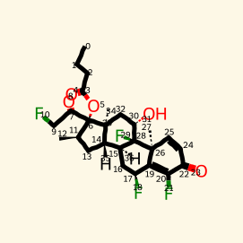 CCCC(=O)O[C@@]1(C(=O)CF)[C@H](C)C[C@H]2[C@@H]3C[C@H](F)C4=C(F)C(=O)C=C[C@]4(C)[C@@]3(F)[C@@H](O)C[C@@]21C